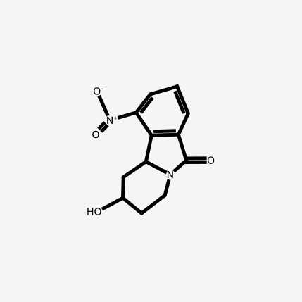 O=C1c2cccc([N+](=O)[O-])c2C2CC(O)CCN12